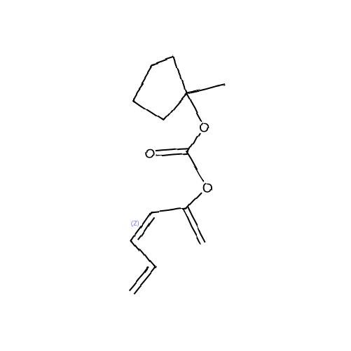 C=C/C=C\C(=C)OC(=O)OC1(C)CCCC1